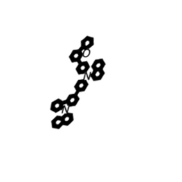 c1ccc2c(N(c3ccc(-c4ccc5c(c4)c4ccccc4n5-c4cccc5ccccc45)cc3)c3ccc(-c4cccc5c4oc4ccccc45)cc3)cccc2c1